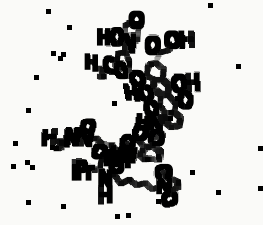 CC(C)[C@H](NC(=O)CCCCCN1C(=O)C=CC1=O)C(=O)N[C@@H](CCCNC(N)=O)C(=O)Nc1ccccc1COC(=O)Nc1cccc2c1C(=O)c1c(O)c3c(c(O)c1C2=O)C[C@@H](C(=O)CO)CC3O[C@H]1C[C@H](N2CCOC[C@H]2O)C[C@H](C)O1